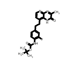 Cc1nc2nccc(CCc3ccc(NC(=O)OC(C)(C)C)c(F)c3)c2[nH]c1=O